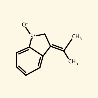 CC(C)=C1C[S+]([O-])c2ccccc21